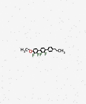 CCCc1ccc(-c2ccc(-c3ccc(OCC)c(F)c3F)c(F)c2F)cc1